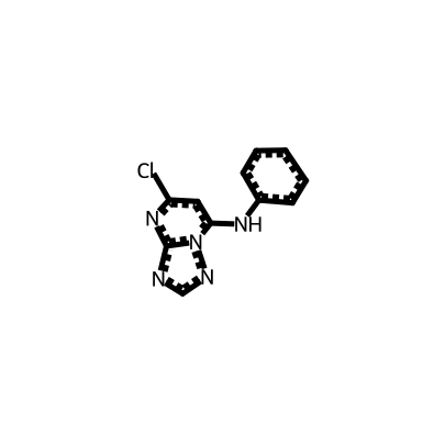 Clc1cc(Nc2ccccc2)n2ncnc2n1